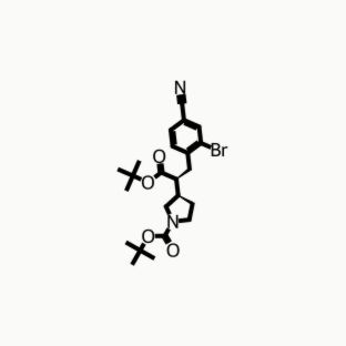 CC(C)(C)OC(=O)[C@@H](Cc1ccc(C#N)cc1Br)[C@H]1CCN(C(=O)OC(C)(C)C)C1